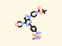 CNS(=O)(=O)Nc1ccc(-c2nc(N3CCOCC3)c3cnn(C4CCN(C(=O)OC(C)(C)C)CC4)c3n2)cc1